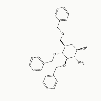 N[C@@H]1[C@@H](OCc2ccccc2)[C@H](OCc2ccccc2)[C@@H](COCc2ccccc2)C[C@H]1O